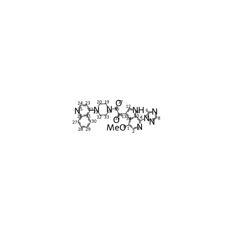 COc1cnc(-n2cncn2)c2[nH]cc(C(=O)C(=O)N3CCN(c4ccnc5ccccc45)CC3)c12